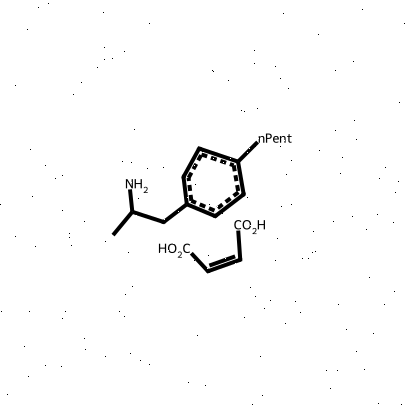 CCCCCc1ccc(CC(C)N)cc1.O=C(O)/C=C\C(=O)O